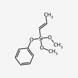 C/C=C/[Si](OC)(OC)Oc1ccccc1